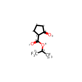 O=C1CCCC1C(=O)OC(C(F)(F)F)C(F)(F)F